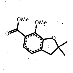 COC(=O)c1ccc2c(c1OC)OC(C)(C)C2